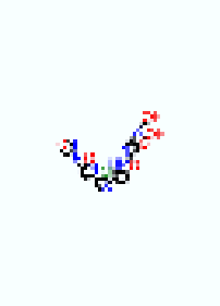 COc1nc(-c2ccnc(-c3cccc(NC(=O)c4ccc(CN(CCO)C(=O)O)cn4)c3C)c2Cl)ccc1CNC1CCOCC1